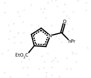 CCCC(=O)n1ccc(C(=O)OCC)c1